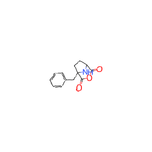 O=C1OC(=O)C2(Cc3ccccc3)CCC1N2